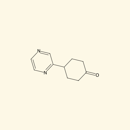 O=C1CCC(c2cnccn2)CC1